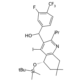 CC(C)c1nc2c(c(I)c1C(O)c1ccc(C(F)(F)F)c(F)c1)[C@@H](O[Si](C)(C)C(C)(C)C)CC(C)(C)C2